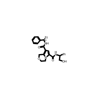 CC[C@@H](NC(=O)c1cc(C(=O)NC(CO)C(C)C)n2c1COCC2)c1ccccc1